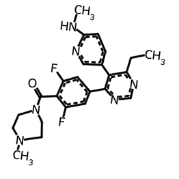 CCc1ncnc(-c2cc(F)c(C(=O)N3CCN(C)CC3)c(F)c2)c1-c1ccc(NC)nc1